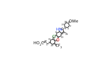 COc1ccc(-c2[nH]c3ccc(Oc4c(Cl)cc(CCC(=O)O)cc4C(F)(F)F)cc3c2C)cc1